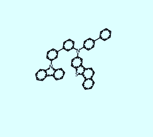 c1ccc(-c2ccc(N(c3cccc(-c4cccc(-n5c6ccccc6c6ccccc65)c4)c3)c3ccc4sc5c6ccccc6ccc5c4c3)cc2)cc1